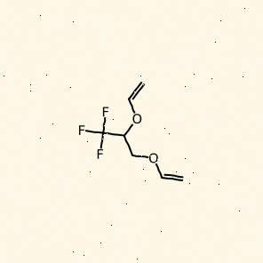 C=COCC(OC=C)C(F)(F)F